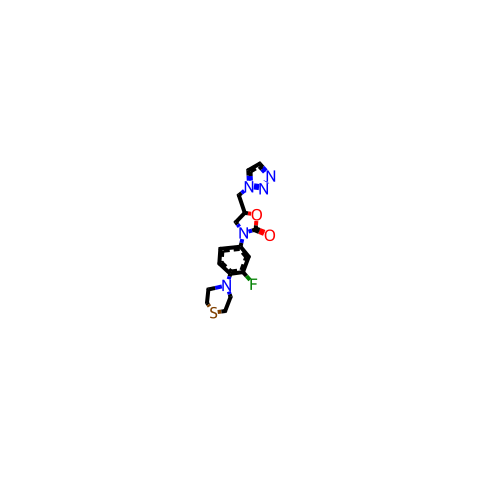 O=C1OC(Cn2ccnn2)CN1c1ccc(N2CCSCC2)c(F)c1